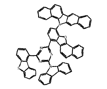 c1ccc2cc3c(cc2c1)c1ccc2ccccc2c1n3-c1ccc(-c2nc(-c3cccc4sc5ccccc5c34)nc(-n3c4ccccc4c4ccccc43)n2)c2c1oc1c3ccccc3ccc12